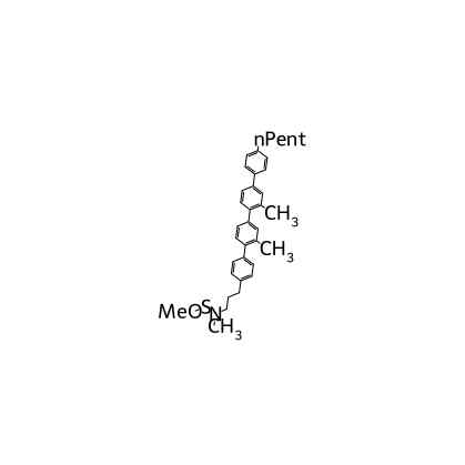 CCCCCc1ccc(-c2ccc(-c3ccc(-c4ccc(CCCN(C)SOC)cc4)c(C)c3)c(C)c2)cc1